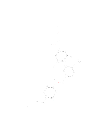 CCOCCOc1cc(C)c(-c2cc(COc3ccc(CCC(=O)OCC)c(F)c3)ccc2OC)c(C)c1